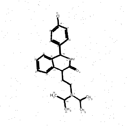 CC(C)N(CCC1C(=O)NC(c2ccc(Cl)cc2)c2ccccc21)C(C)C